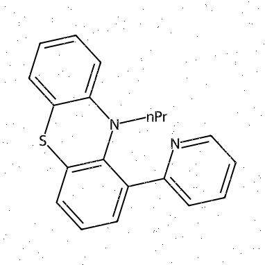 CCCN1c2ccccc2Sc2cccc(-c3ccccn3)c21